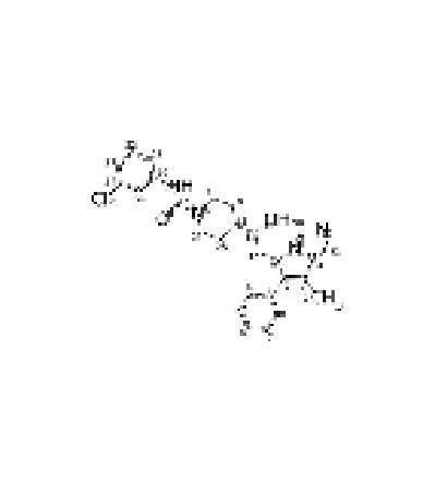 CC1=C(c2ccccc2)C(CC(O)C2CCN(C(=O)Nc3cccc(Cl)c3)CC2)n2cncc21